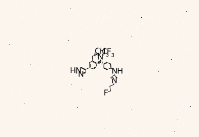 C[C@@H]1Cc2cc(-c3cn[nH]c3)ccc2[C@@H](c2ccc(NC3CN(CCCF)C3)cc2)N1CC(F)(F)F